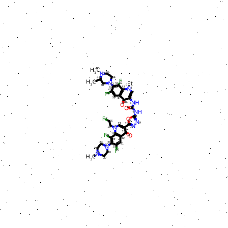 CCn1cc(NC(=O)Nc2nnc(-c3cn(CCF)c4c(F)c(N5CCN(C)CC5)c(F)cc4c3=O)o2)c(=O)c2cc(F)c(N3CCN(C)C(C)C3)c(F)c21